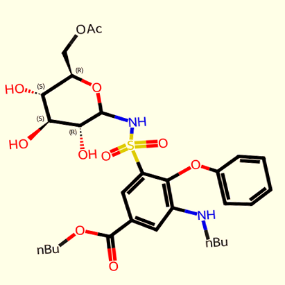 CCCCNc1cc(C(=O)OCCCC)cc(S(=O)(=O)NC2O[C@H](COC(C)=O)[C@@H](O)[C@H](O)[C@H]2O)c1Oc1ccccc1